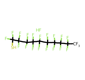 F.FC(F)(F)C(F)(F)C(F)(F)C(F)(F)C(F)(F)C(F)(F)C(F)(F)C(F)(F)C(F)(F)C(F)(F)S